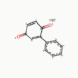 O=C1C=CC(=O)C(c2ccccc2)=C1.[H+]